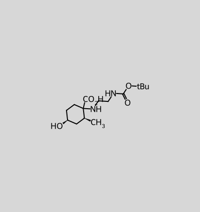 C[C@H]1C[C@@H](O)CCC1(NCCNC(=O)OC(C)(C)C)C(=O)O